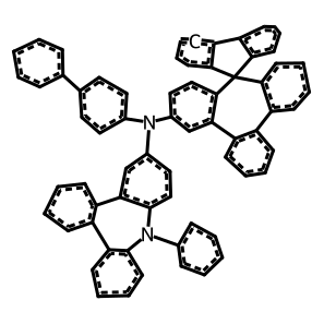 c1ccc(-c2ccc(N(c3ccc4c(c3)-c3ccccc3-c3ccccc3N4c3ccccc3)c3ccc4c(c3)-c3ccccc3-c3ccccc3C43c4ccccc4-c4ccccc43)cc2)cc1